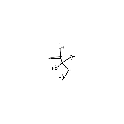 C=C(O)C(O)(O)CN